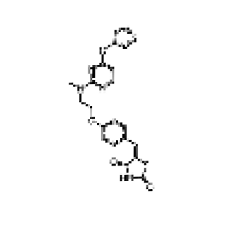 CN(CCOc1ccc(C=C2SC(=O)NC2=O)cc1)c1nccc(Oc2ccsc2)n1